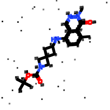 Cc1ccc(NC2CC3(C2)CN(C(=O)OC(C)(C)C)C3)c2cnn(C)c(=O)c12